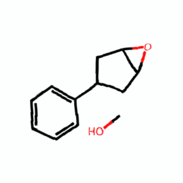 CO.c1ccc(C2CC3OC3C2)cc1